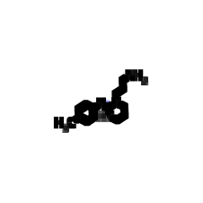 Cc1ccc(/N=C2\NCCCN2CCCN)cc1